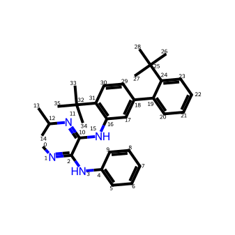 C/N=C(Nc1ccccc1)\C(=N/C(C)C)Nc1cc(-c2ccccc2C(C)(C)C)ccc1C(C)(C)C